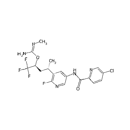 C/N=C(/N)O[C@@H](C[C@H](C)c1cc(NC(=O)c2ccc(Cl)cn2)cnc1F)C(F)(F)F